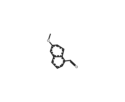 COc1ccc2c([C]=O)cccc2c1